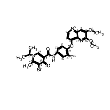 COc1cc2nccc(Oc3ccc(NC(=O)c4cn(C(C)C)c(C)c(Br)c4=O)cc3F)c2nc1OC